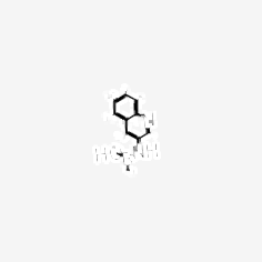 CB(O)Nc1cnc2ccccc2c1